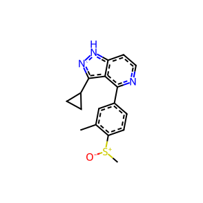 Cc1cc(-c2nccc3[nH]nc(C4CC4)c23)ccc1[S+](C)[O-]